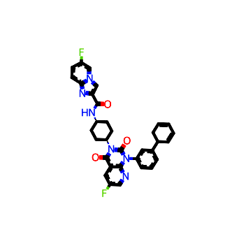 O=C(N[C@H]1CC[C@@H](n2c(=O)c3cc(F)cnc3n(-c3cccc(C4C=CC=CC4)c3)c2=O)CC1)c1cn2cc(F)ccc2n1